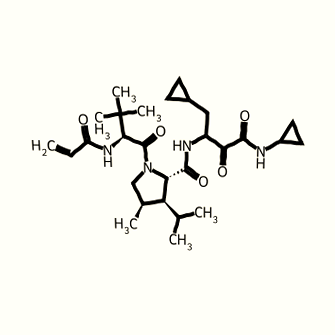 C=CC(=O)N[C@H](C(=O)N1C[C@H](C)[C@H](C(C)C)[C@H]1C(=O)NC(CC1CC1)C(=O)C(=O)NC1CC1)C(C)(C)C